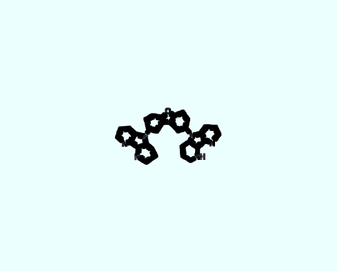 C1=Cc2c(c3ncccc3n2-c2ccc3oc4ccc(-n5c6cccnc6c6ncccc65)cc4c3c2)NC1